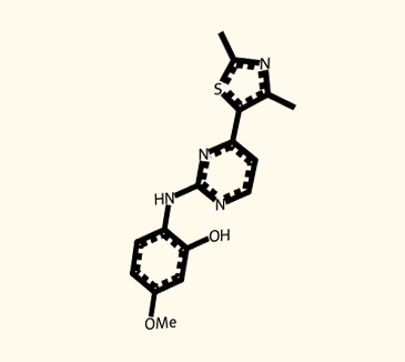 COc1ccc(Nc2nccc(-c3sc(C)nc3C)n2)c(O)c1